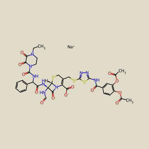 CCN1CCN(C(=O)NC(C(=O)N[C@]2(NC=O)C(=O)N3C(C(=O)[O-])=C(CSc4nnc(NC(=O)c5ccc(OC(C)=O)c(OC(C)=O)c5)s4)CS[C@H]32)c2ccccc2)C(=O)C1=O.[Na+]